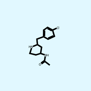 CC(=O)NC1CCNC(Cc2ccc(Cl)cc2)C1